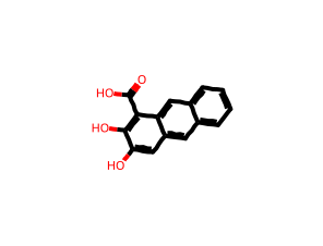 O=C(O)c1c(O)c(O)cc2cc3ccccc3cc12